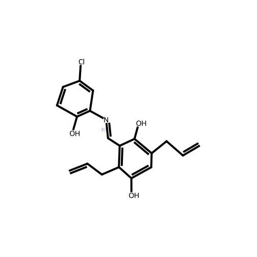 C=CCc1cc(O)c(CC=C)c(/C=N/c2cc(Cl)ccc2O)c1O